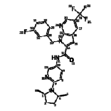 C[C@@H]1CC[C@H](C)N1c1ccc(NC(=O)c2cc3cc(C(F)(F)F)cnc3n2Cc2cccc(F)c2)cn1